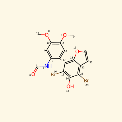 COc1ccc(NC=O)cc1OC.Oc1c(Br)cc2occc2c1Br